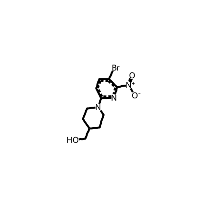 O=[N+]([O-])c1nc(N2CCC(CO)CC2)ccc1Br